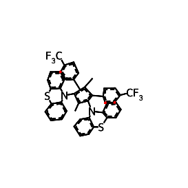 Cc1c(-c2ccc(C(F)(F)F)cc2)c(N2c3ccccc3Sc3ccccc32)c(C)c(N2c3ccccc3Sc3ccccc32)c1-c1ccc(C(F)(F)F)cc1